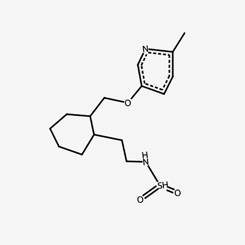 Cc1ccc(OCC2CCCCC2CCN[SH](=O)=O)cn1